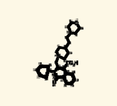 O=C(O)c1c(CN2CCC(CCN3CCOCC3)CC2)n(-c2ccccc2)c(=O)c2ccccc12